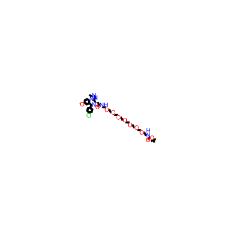 COc1ccc2c(c1)C(c1ccc(Cl)cc1)=N[C@@H](CC(=O)NCCOCCOCCOCCOCCOCCOCCOCCNC(=O)OC(C)(C)C)c1nnc(C)n1-2